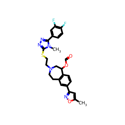 Cc1cc(-c2ccc3c(c2)CCN(CCSc2nnc(-c4ccc(F)c(F)c4)n2C)CC3OC=O)no1